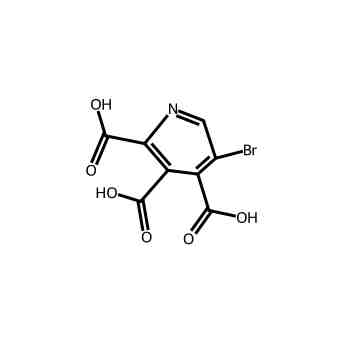 O=C(O)c1ncc(Br)c(C(=O)O)c1C(=O)O